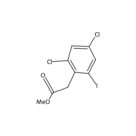 COC(=O)Cc1c(Cl)cc(Cl)cc1I